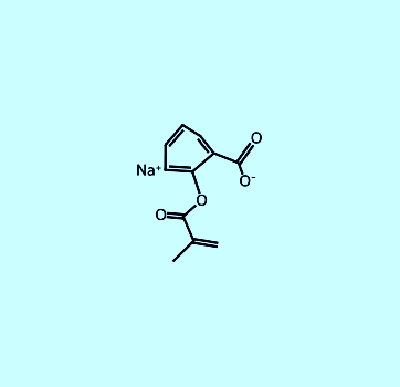 C=C(C)C(=O)Oc1ccccc1C(=O)[O-].[Na+]